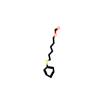 O=[C]OCCCCCCSc1ccccc1